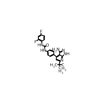 CC(C)(C)c1cc(-c2ccc(NC(=O)Nc3ccc(F)cc3F)cc2)c2c(N)n[nH]c2n1